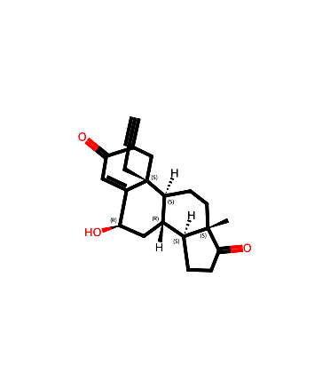 C#CC[C@]12CCC(=O)C=C1[C@H](O)C[C@@H]1[C@@H]2CC[C@]2(C)C(=O)CC[C@@H]12